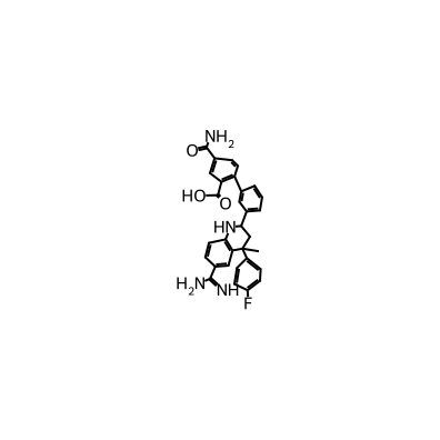 CC1(c2ccc(F)cc2)CC(c2cccc(-c3ccc(C(N)=O)cc3C(=O)O)c2)Nc2ccc(C(=N)N)cc21